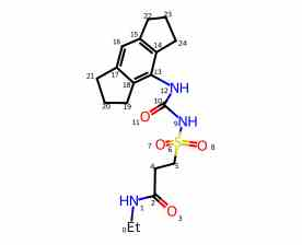 CCNC(=O)CCS(=O)(=O)NC(=O)Nc1c2c(cc3c1CCC3)CCC2